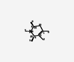 CC1=C(C)[C@@H](C)N(C)[C@@H](C)C1